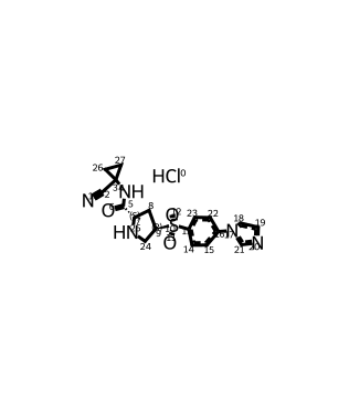 Cl.N#CC1(NC(=O)[C@@H]2C[C@@H](S(=O)(=O)c3ccc(-n4ccnc4)cc3)CN2)CC1